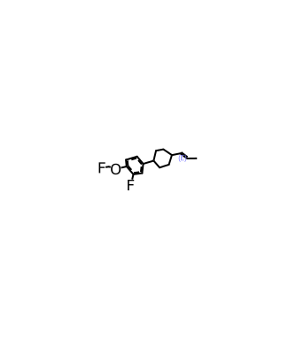 C/C=C/C1CCC(c2ccc(OCF)c(F)c2)CC1